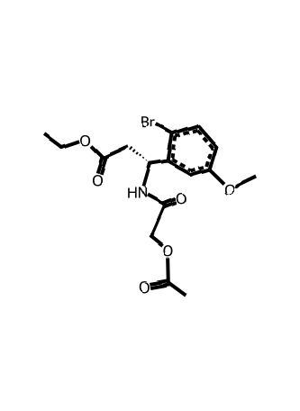 CCOC(=O)C[C@@H](NC(=O)COC(C)=O)c1cc(OC)ccc1Br